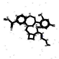 CCCc1cc(Cl)ccc1C1COc2ccc(C(=O)NC)cc2N(CC2CCC2C(/C=C/CC(C)CC)OC)C1